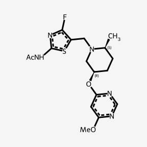 COc1cc(O[C@@H]2CC[C@H](C)N(Cc3sc(NC(C)=O)nc3F)C2)ncn1